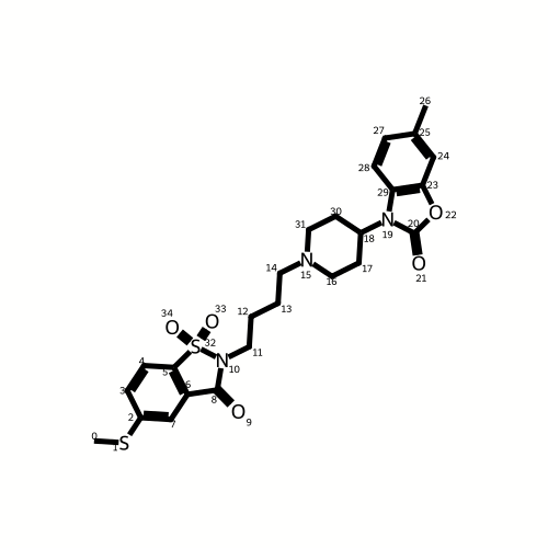 CSc1ccc2c(c1)C(=O)N(CCCCN1CCC(n3c(=O)oc4cc(C)ccc43)CC1)S2(=O)=O